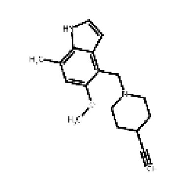 C#CC1CCN(Cc2c(OC)cc(C)c3[nH]ccc23)CC1